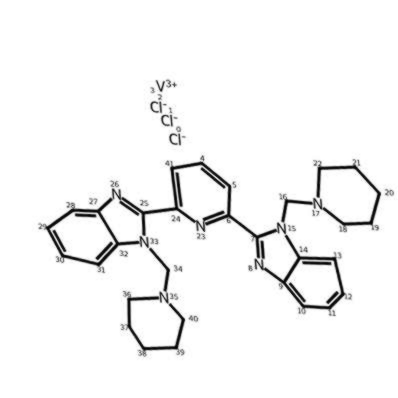 [Cl-].[Cl-].[Cl-].[V+3].c1cc(-c2nc3ccccc3n2CN2CCCCC2)nc(-c2nc3ccccc3n2CN2CCCCC2)c1